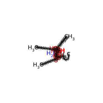 CCCCC/C=C\C/C=C\C/C=C\C/C=C\CCCC(=O)O[C@H](COC(=O)CCCCCCCCCCCCCCCCC)COP(=O)(O)OC[C@H](N)C(=O)OP(=O)(O)O.CCCCCCCCCC=CC=CC=CC=CC=CC=CC(=O)O[C@@H](CO)C(O)C(=O)CCCCCCCCCCCCCCCCC